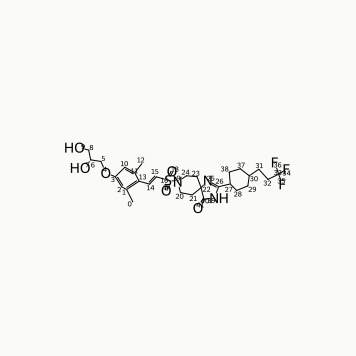 Cc1cc(OC[C@H](O)CO)cc(C)c1C=CS(=O)(=O)N1CCC2(CC1)N=C(C1CCC(CCC(F)(F)F)CC1)NC2=O